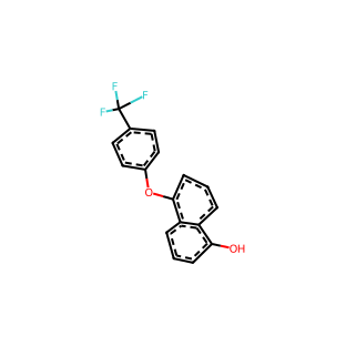 Oc1cccc2c(Oc3ccc(C(F)(F)F)cc3)cccc12